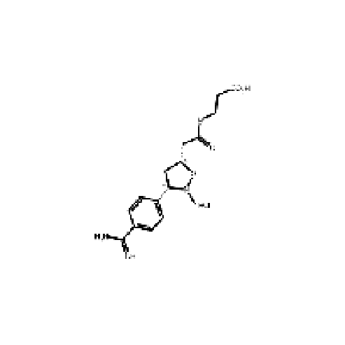 CN1O[C@@H](CC(=O)NCCC(=O)O)C[C@H]1c1ccc(C(=N)N)cc1.Cl